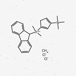 C.C[Si](C)(C)C1=CC[C]([Zr+2]([CH3])([CH3])[CH]2c3ccccc3-c3ccccc32)=C1.[Cl-].[Cl-]